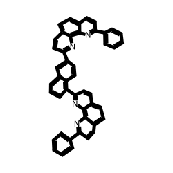 c1ccc(-c2ccc3ccc4ccc(-c5ccc6c(-c7ccc8ccc9ccc(-c%10ccccc%10)nc9c8n7)cccc6c5)nc4c3n2)cc1